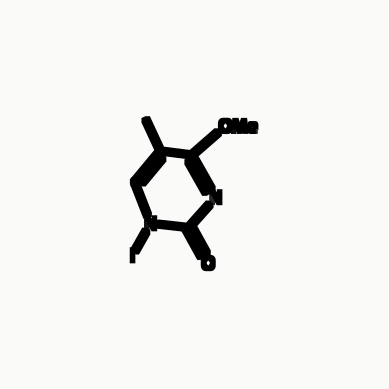 COc1nc(=O)n(I)cc1C